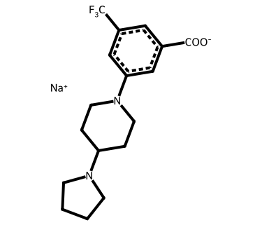 O=C([O-])c1cc(N2CCC(N3CCCC3)CC2)cc(C(F)(F)F)c1.[Na+]